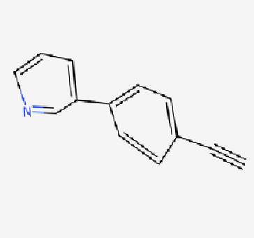 C#Cc1ccc(-c2cccnc2)cc1